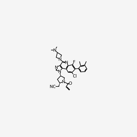 C=CC(=O)N1C[C@H](n2cnc3c(N4CC(N(C)C)C4)nc4c(F)c(-c5cccc(C)c5C)c(Cl)cc4c32)C[C@@H]1CC#N